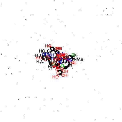 CN[C@H](CC(C)C)C(=O)N[C@H]1C(=O)N[C@@H](CC(N)=O)C(=O)N[C@H]2C(=O)N[C@H]3C(=O)N[C@H](C(=O)N[C@H](C(=O)O)c4cc(O)cc(O)c4-c4cc3ccc4O)[C@H](O[C@H]3C[C@](C)(N)[C@@H](O)[C@H](C)O3)c3ccc(c(Cl)c3)Oc3cc2cc(c3O[C@@H]2O[C@H](CO)[C@@H](O)[C@H](O)[C@H]2O[C@H]2C[C@](C)(N(Cc3ccc(-c4ccc(Cl)cc4)cc3)C(=O)CC(P(=O)(O)O)P(=O)(O)O)[C@@H](O)[C@H](C)O2)Oc2ccc(cc2Cl)[C@H]1O